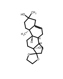 CC1(O)CC[C@@]2(C)C(=CC[C@@H]3[C@@H]2CC[C@@]2(C)[C@H]3CCC23OCCO3)C1